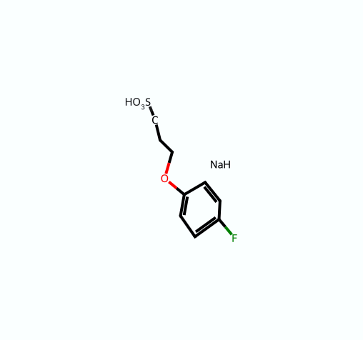 O=S(=O)(O)CCCOc1ccc(F)cc1.[NaH]